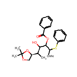 COC(Sc1ccccc1)C(OC(=O)c1ccccc1)C(O)C(C)[C@H]1COC(C)(C)O1